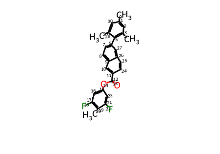 Cc1cc(C)c(-c2ccc3cc(C(=O)Oc4cc(F)c(C)c(F)c4)ccc3c2)c(C)c1